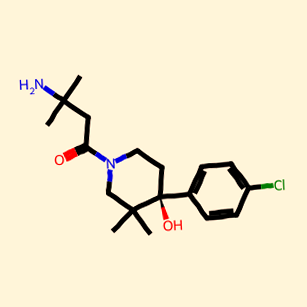 CC(C)(N)CC(=O)N1CC[C@](O)(c2ccc(Cl)cc2)C(C)(C)C1